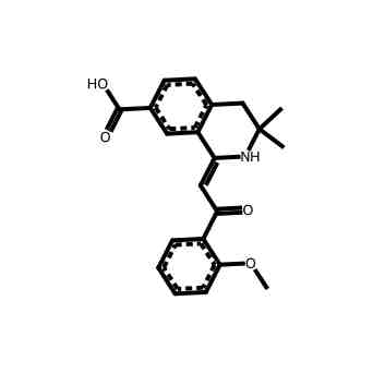 COc1ccccc1C(=O)C=C1NC(C)(C)Cc2ccc(C(=O)O)cc21